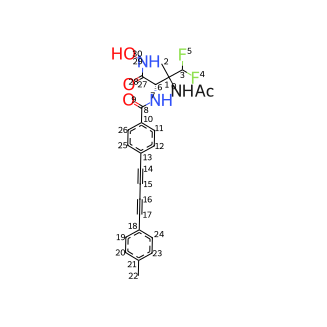 CC(=O)NC(C)(C(F)F)[C@H](NC(=O)c1ccc(C#CC#Cc2ccc(C)cc2)cc1)C(=O)NO